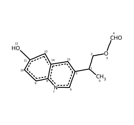 CC(COC=O)c1cnc2ccc(O)cc2c1